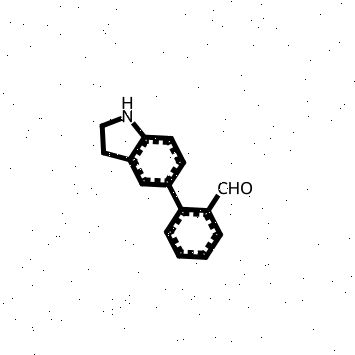 O=Cc1ccccc1-c1ccc2c(c1)CCN2